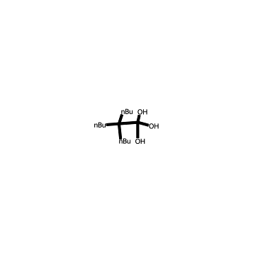 CCCCC(CCCC)(CCCC)C(O)(O)O